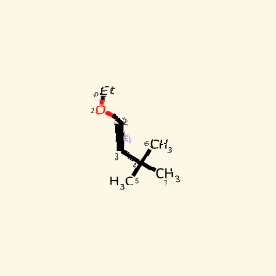 CCO/C=C/C(C)(C)C